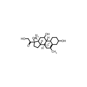 CC1=C2CC(O)CC[C@]2(C)[C@H]2C(O)C[C@@]3(C)[C@@H](CC[C@]3(O)C(=O)CO)[C@@H]2C1